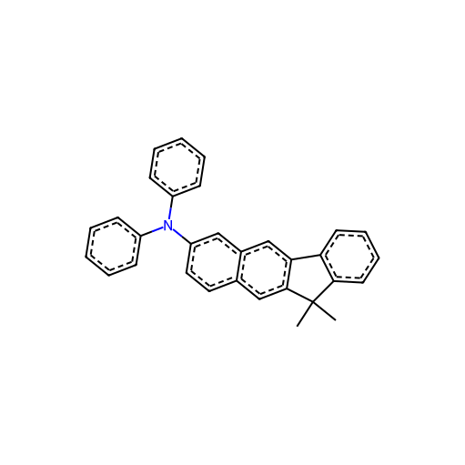 CC1(C)c2ccccc2-c2cc3cc(N(c4ccccc4)c4ccccc4)ccc3cc21